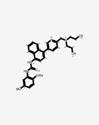 COc1ccc(C(C)(C)C)cc1NC(=O)Nc1ccc(-c2ccc(CN(CCC#N)CCC#N)nc2)c2ccccc12